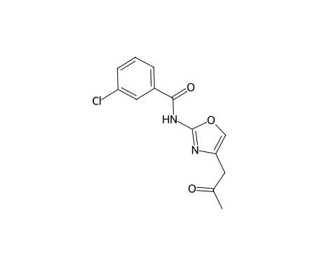 CC(=O)Cc1coc(NC(=O)c2cccc(Cl)c2)n1